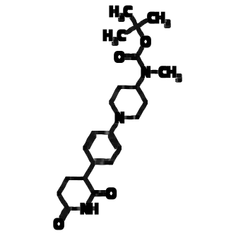 CN(C(=O)OC(C)(C)C)C1CCN(c2ccc(C3CCC(=O)NC3=O)cc2)CC1